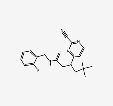 CC(C)(C)CN(CC(=O)NCc1ccccc1F)c1ccnc(C#N)n1